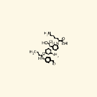 CCCC(=O)Nc1ccc(C=O)cc1.NC1CCCCC1.NCCCCC(N)C(=O)O.O=C(O)CC1CCCCC1